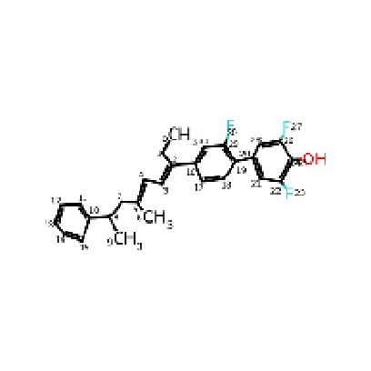 CC/C(=C\C=C(/C)C[C@@H](C)c1ccccc1)c1ccc(-c2cc(F)c(O)c(F)c2)c(F)c1